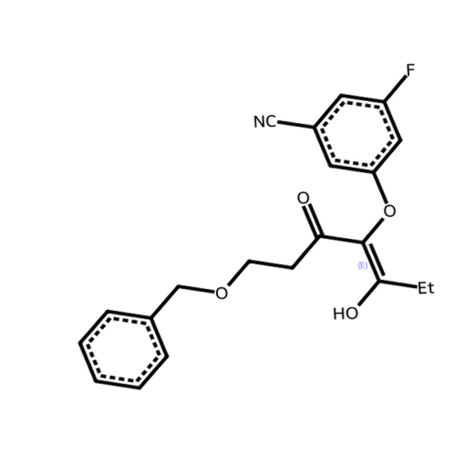 CC/C(O)=C(\Oc1cc(F)cc(C#N)c1)C(=O)CCOCc1ccccc1